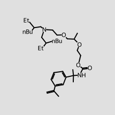 C=C(C)c1cccc(C(C)(C)NC(=O)OCCOC(C)COCCN(CC(CC)CCCC)CC(CC)CCCC)c1